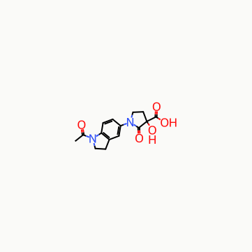 CC(=O)N1CCc2cc(N3CCC(O)(C(=O)O)C3=O)ccc21